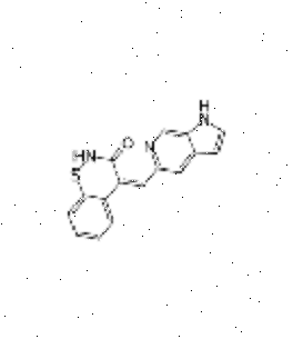 O=C1NSc2ccccc2C1=Cc1cc2cc[nH]c2cn1